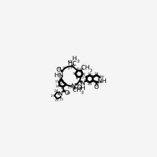 Cc1cc2ccc1[C@@H](C)CCC(=O)Nc1ccc(C(=O)N3CCCC3)c(c1)CN(C)C(=O)C2Nc1ccc2cc[nH]c(=O)c2c1